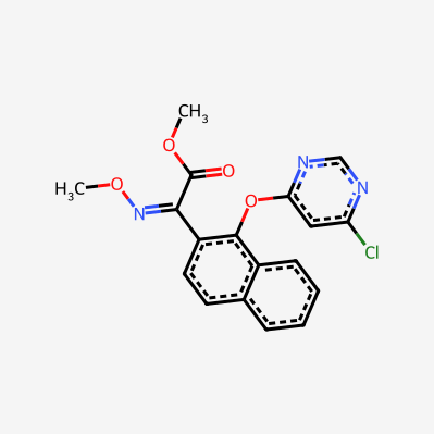 CON=C(C(=O)OC)c1ccc2ccccc2c1Oc1cc(Cl)ncn1